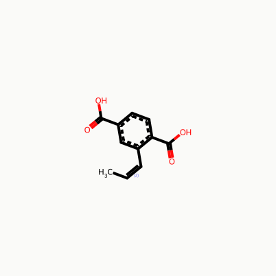 C/C=C\c1cc(C(=O)O)ccc1C(=O)O